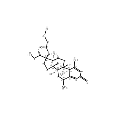 CCOCC(=O)O[C@]1(C(=O)CO)CC[C@H]2[C@@H]3C[C@H](C)C4=CC(=O)C=C(O)[C@]4(C)[C@H]3CC[C@@]21C